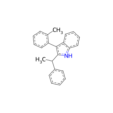 Cc1ccccc1-c1c(C(C)c2ccccc2)[nH]c2ccccc12